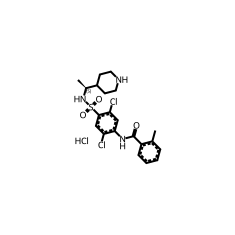 Cc1ccccc1C(=O)Nc1cc(Cl)c(S(=O)(=O)N[C@@H](C)C2CCNCC2)cc1Cl.Cl